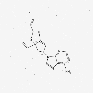 C=C[C@]1(OCP=O)C[C@@H](n2cnc3c(N)ncnc32)C=C1F